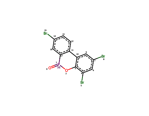 O=[PH]1Oc2c(Br)cc(Br)cc2-c2ccc(Br)cc21